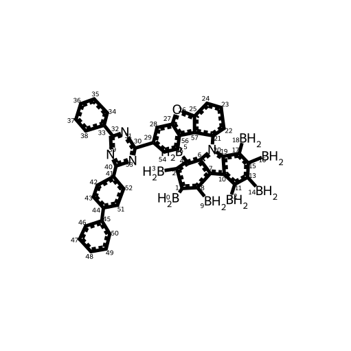 Bc1c(B)c(B)c2c(c1B)c1c(B)c(B)c(B)c(B)c1n2-c1cccc2oc3cc(-c4nc(-c5ccccc5)nc(-c5ccc(-c6ccccc6)cc5)n4)ccc3c12